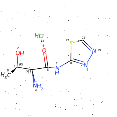 C[C@@H](O)[C@H](N)C(=O)Nc1nncs1.Cl